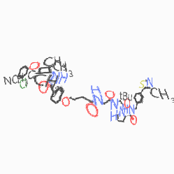 Cc1ncsc1-c1ccc(CNC(=O)[C@@H]2CCCN2C(=O)[C@@H](NC(=O)CNC(=O)CCCOc2ccc(C(=O)N[C@H]3C(C)(C)[C@H](Oc4ccc(C#N)c(Cl)c4)C3(C)C)cc2)C(C)(C)C)cc1